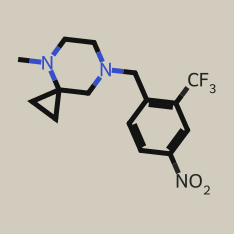 CN1CCN(Cc2ccc([N+](=O)[O-])cc2C(F)(F)F)CC12CC2